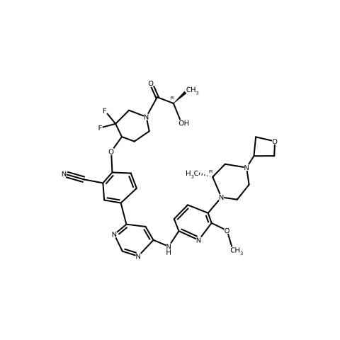 COc1nc(Nc2cc(-c3ccc(OC4CCN(C(=O)[C@@H](C)O)CC4(F)F)c(C#N)c3)ncn2)ccc1N1CCN(C2COC2)C[C@H]1C